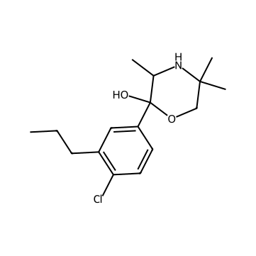 CCCc1cc(C2(O)OCC(C)(C)NC2C)ccc1Cl